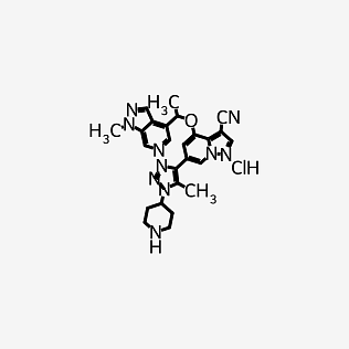 Cc1c(-c2cc(OC(C)c3cncc4c3cnn4C)c3c(C#N)cnn3c2)nnn1C1CCNCC1.Cl